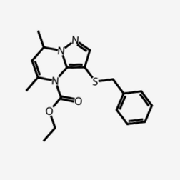 CCOC(=O)N1C(C)=CC(C)n2ncc(SCc3ccccc3)c21